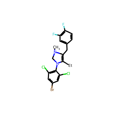 CCC1=C(Cc2ccc(F)c(F)c2)N(C)CN1c1c(Cl)cc(Br)cc1Cl